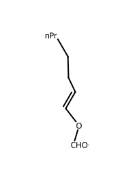 CCCCCC=CO[C]=O